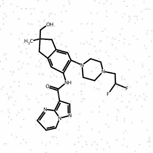 CC1(CO)Cc2cc(NC(=O)c3cnn4cccnc34)c(N3CCN(CC(F)F)CC3)cc2C1